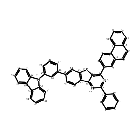 c1ccc(-c2nc(-c3ccc4c(ccc5ccccc54)c3)c3sc4cc(-c5cccc(-n6c7ccccc7c7ccccc76)c5)ccc4c3n2)cc1